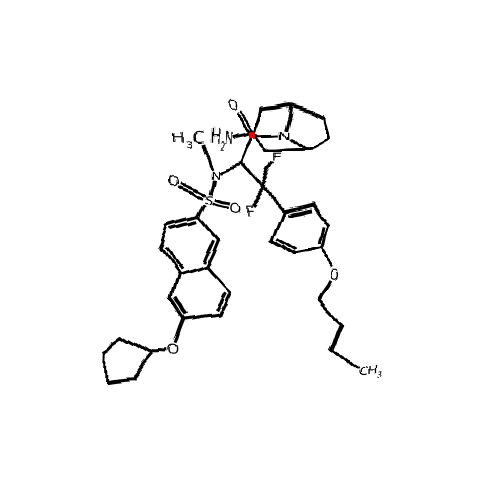 CCCCOc1ccc(C(F)(F)C(C(=O)N2C3CCC2CC(N)C3)N(C)S(=O)(=O)c2ccc3cc(OC4CCCC4)ccc3c2)cc1